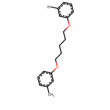 CCc1cccc(OCCCCCOc2cccc(C)c2)c1